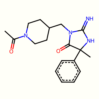 CC(=O)N1CCC(CN2C(=N)NC(C)(c3ccccc3)C2=O)CC1